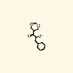 O=C(C(Br)CC1CCCCC1)C1COCOC1